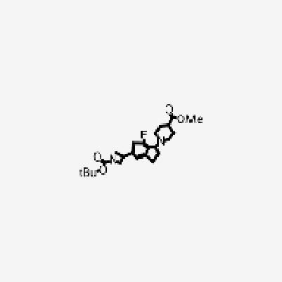 COC(=O)C1CCN(C2CCc3cc(C4CN(C(=O)OC(C)(C)C)C4)cc(F)c32)CC1